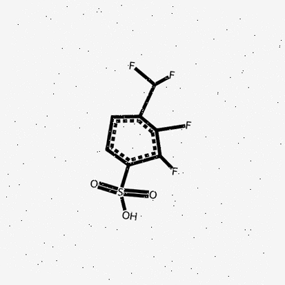 O=S(=O)(O)c1ccc(C(F)F)c(F)c1F